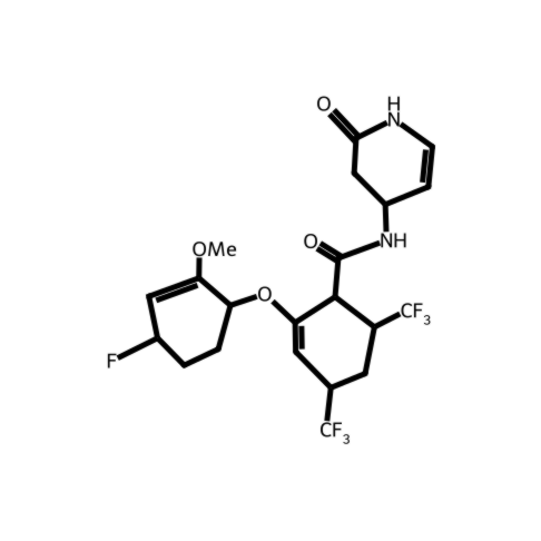 COC1=CC(F)CCC1OC1=CC(C(F)(F)F)CC(C(F)(F)F)C1C(=O)NC1C=CNC(=O)C1